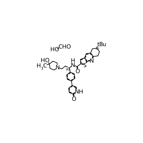 CC1(O)CCN(CC[C@@H](NC(=O)c2cc3cc4c(nc3s2)CC[C@H](C(C)(C)C)C4)c2ccc(-c3ccc(=O)[nH]c3)cc2)CC1.O=CO